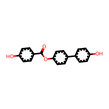 O=C(Oc1ccc(-c2ccc(O)cc2)cc1)c1ccc(O)cc1